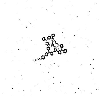 CCCCCCC1(CCCCCC)c2ccccc2-c2ccc(N(c3ccccc3)c3ccc(-c4ccc(N(c5ccc(-c6ccc(CCCCC)cc6)cc5)c5cccc(-c6cccc(-c7cccc(N(c8ccccc8)c8ccccc8)c7)c6)c5)cc4C)c(C)c3)cc21